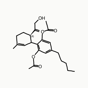 C=C(CO)[C@@H]1CCC(C)=CC1c1c(OC(C)=O)cc(CCCCC)cc1OC(C)=O